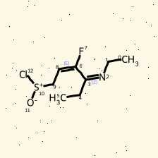 CC/N=C(CC)\C(F)=C/C[S+]([O-])Cl